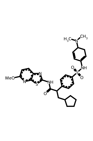 COc1ccc2nc(NC(=O)C(CC3CCCC3)c3ccc(S(=O)(=O)NC4=CCC(N(C)C)C=C4)cc3)sc2n1